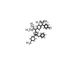 CCN(CC)C(c1nc(Cc2ccccc2)c(N2CCC(C)CC2)o1)C1CCC(C(c2ccc(Cl)cc2)N(C)C)CC1